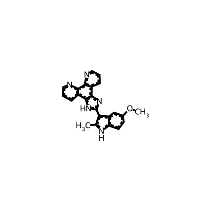 COc1ccc2[nH]c(C)c(-c3nc4c5cccnc5c5ncccc5c4[nH]3)c2c1